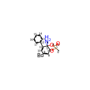 CS(=O)(=O)OC1(N)CC=CC=C1c1ccccc1.[Pd]